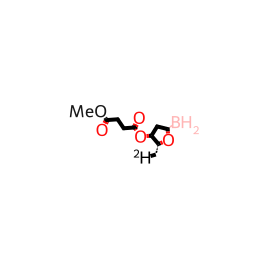 [2H]C[C@H]1O[C@@H](B)CC1OC(=O)CCC(=O)OC